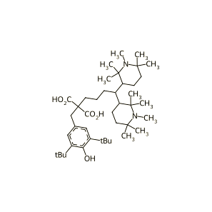 CN1C(C)(C)CCC(C(CCCC(Cc2cc(C(C)(C)C)c(O)c(C(C)(C)C)c2)(C(=O)O)C(=O)O)C2CCC(C)(C)N(C)C2(C)C)C1(C)C